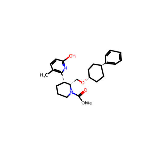 COC(=O)N1CCC[C@H](c2nc(O)ccc2C)[C@@H]1CO[C@H]1CC[C@@H](c2ccccc2)CC1